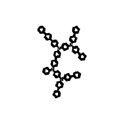 c1ccc(-c2ccc(-c3ccc(N(c4ccc(-c5ccc(N(c6ccccc6)c6ccc(N(c7ccc(-c8ccccc8)cc7)c7ccc(-c8ccccc8)cc7)cc6)cc5)cc4)c4ccc(N(c5ccc(-c6ccccc6)cc5)c5ccc(-c6ccccc6)cc5)cc4)cc3)cc2)cc1